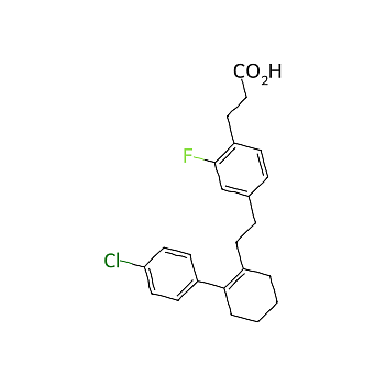 O=C(O)CCc1ccc(CCC2=C(c3ccc(Cl)cc3)CCCC2)cc1F